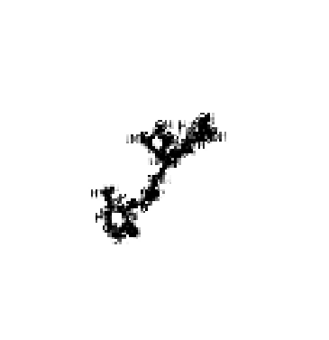 Cc1cc(-c2ccc(NC(=O)[C@@H](CCCCNC(=O)CCN3C(=O)CC(SCC(=O)NCCCC[C@H]4NC(=O)[C@H](Cc5ccccc5)NC(O)[C@H](CC(=O)O)NC(=O)CNC(=O)[C@H](CCCNC(=N)N)NC4=O)C3=O)NC(=O)CN3CCN(CC(=O)O)CCN(CC(=O)O)CCN(CC(=O)O)CC3)c(C)c2)ccc1NNc1ccc2c(S(=O)(=O)O)cc(S(=O)(=O)O)c(N)c2c1O